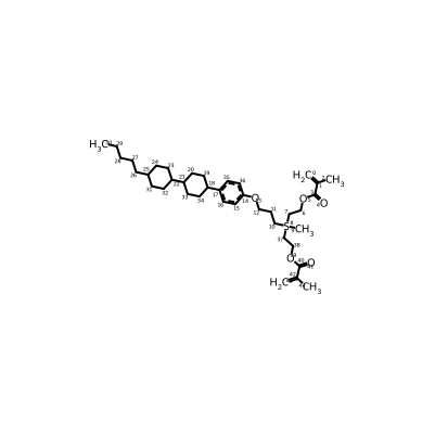 C=C(C)C(=O)OCCS(C)(CCCOc1ccc(C2CCC(C3CCC(CCCCC)CC3)CC2)cc1)CCOC(=O)C(=C)C